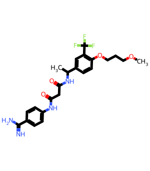 COCCCOc1ccc(C(C)NC(=O)CC(=O)Nc2ccc(C(=N)N)cc2)cc1C(F)(F)F